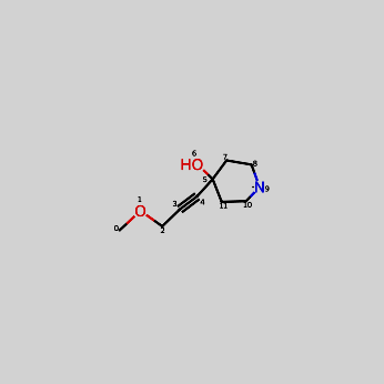 COCC#CC1(O)CC[N]CC1